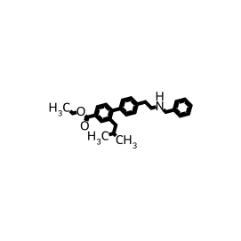 CCOC(=O)c1ccc(-c2ccc(CCNCc3ccccc3)cc2)c(CC(C)C)c1